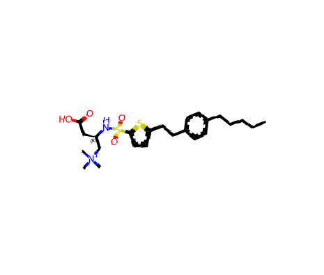 CCCCCc1ccc(CCc2ccc(S(=O)(=O)N[C@H](CC(=O)O)C[N+](C)(C)C)s2)cc1